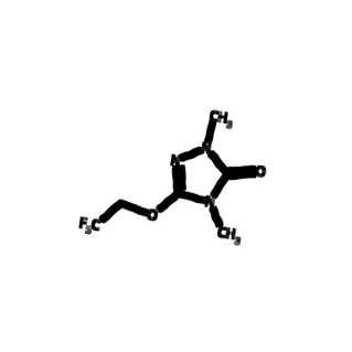 Cn1nc(OCC(F)(F)F)n(C)c1=O